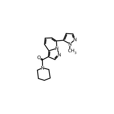 Cn1nccc1-c1cccc2c(C(=O)N3CCCCC3)cnn12